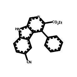 CCOC(=O)c1ncc2[nH]c3ccc(C#N)cc3c2c1-c1ccccc1